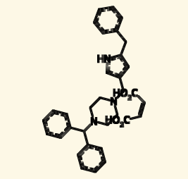 O=C(O)/C=C\C(=O)O.c1ccc(Cc2cc(CN3CCN(C(c4ccccc4)c4ccccc4)CC3)c[nH]2)cc1